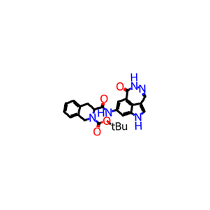 CC(C)(C)OC(=O)N1Cc2ccccc2CC1C(=O)Nc1cc2c3c(c[nH]c3c1)C=NNC2=O